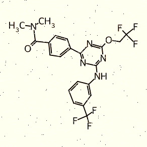 CN(C)C(=O)c1ccc(-c2nc(Nc3cccc(C(F)(F)F)c3)nc(OCC(F)(F)F)n2)cc1